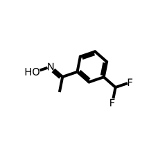 C/C(=N\O)c1cccc(C(F)F)c1